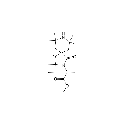 COC(=O)C(C)N1C(=O)C2(CC(C)(C)NC(C)(C)C2)OC12CCC2